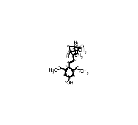 COc1cc(O)cc(OC)c1C=CC1=CC(=O)[C@H]2C[C@@H]1C2(C)C